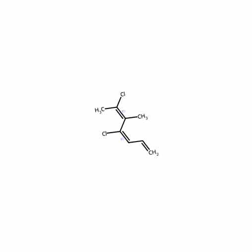 C=C/C=C(Cl)\C(C)=C(/C)Cl